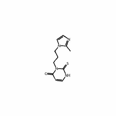 Cc1nccn1CCCn1c(=O)cc[nH]c1=S